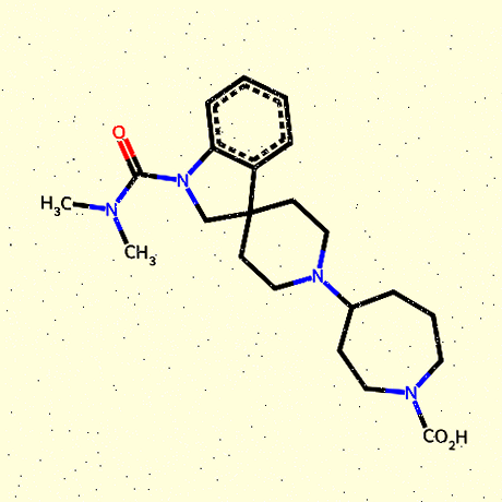 CN(C)C(=O)N1CC2(CCN(C3CCCN(C(=O)O)CC3)CC2)c2ccccc21